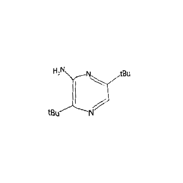 CC(C)(C)c1cnc(C(C)(C)C)c(N)n1